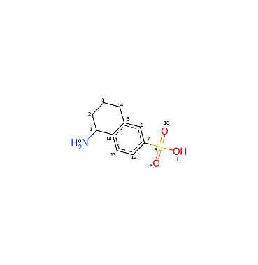 NC1CCCc2cc(S(=O)(=O)O)ccc21